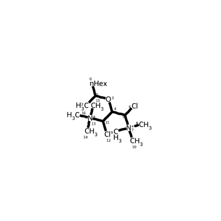 CCCCCCC(C)OC(C(Cl)[N+](C)(C)C)C(Cl)[N+](C)(C)C